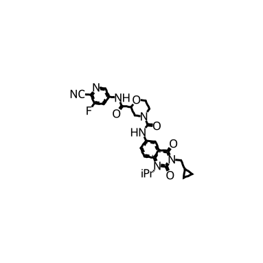 CC(C)n1c(=O)n(CC2CC2)c(=O)c2cc(NC(=O)N3CCOC(C(=O)Nc4cnc(C#N)c(F)c4)C3)ccc21